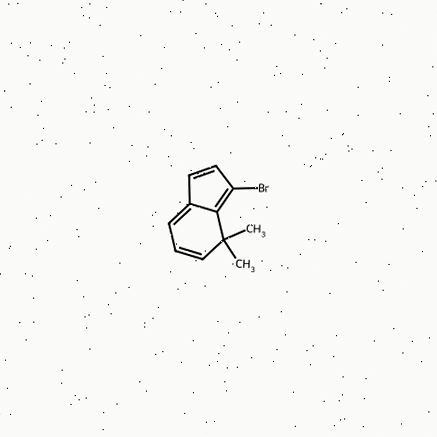 CC1(C)C=CC=C2C=CC(Br)=C21